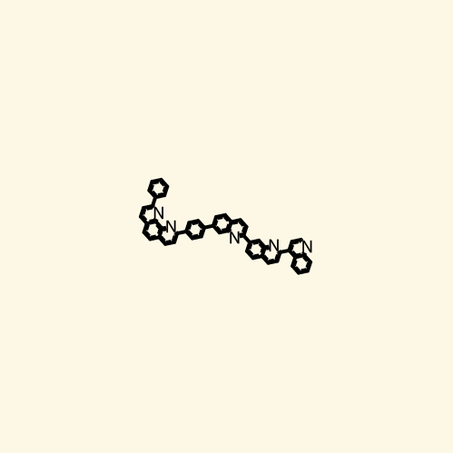 c1ccc(-c2ccc3ccc4ccc(-c5ccc(-c6ccc7ccc(-c8ccc9ccc(-c%10ccnc%11ccccc%10%11)nc9c8)nc7c6)cc5)nc4c3n2)cc1